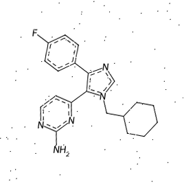 Nc1nccc(-c2c(-c3ccc(F)cc3)ncn2CC2CCCCC2)n1